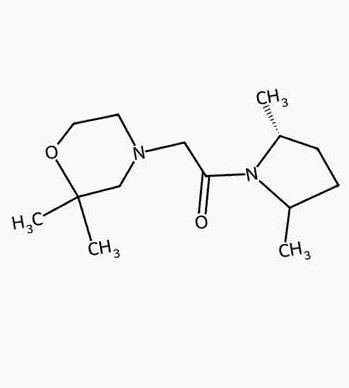 CC1CC[C@@H](C)N1C(=O)CN1CCOC(C)(C)C1